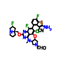 CN1c2nc(OC[C@@]34CCCN3C[C@H](F)C4)nc3c(F)c(-c4ccc(F)c5sc(N)c(C#N)c45)c(Cl)c(c23)OC2CN(C=O)CC21